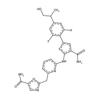 CC(CO)c1cc(F)c(-c2cc(C(N)=O)c(Nc3cccc(Cc4ncc(C(N)=O)o4)n3)s2)c(F)c1